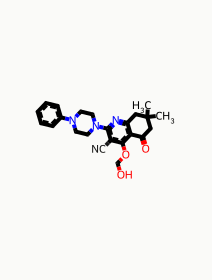 CC1(C)CC(=O)c2c(nc(N3CCN(c4ccccc4)CC3)c(C#N)c2OCO)C1